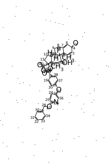 C[C@]12C=CC(=O)C=C1CC[C@H]1[C@@H]3CC[C@@](OC(=O)c4ccc(Oc5ccc(OCc6ccccc6)nc5)cc4)(C(=O)O)[C@@]3(C)C[C@H](O)C12F